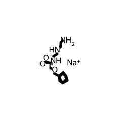 NCCNCCN[C@@H](COCc1ccccc1)C(=O)[O-].[Na+]